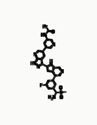 CC(C)C(=O)Nc1cncc(-c2cnc3[nH]nc(-c4cc5c(-c6cc(F)cc(C(N)S(C)(=O)=O)c6)cncc5[nH]4)c3c2)c1